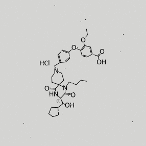 CCCCN1C(=O)[C@@H](C(O)C2CCCC2)NC(=O)C12CCN(Cc1ccc(Oc3ccc(C(=O)O)cc3OCC)cc1)CC2.Cl